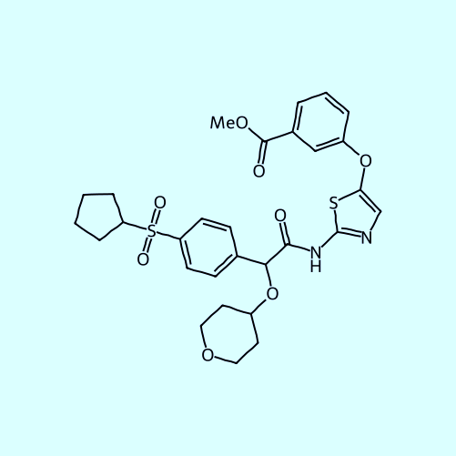 COC(=O)c1cccc(Oc2cnc(NC(=O)C(OC3CCOCC3)c3ccc(S(=O)(=O)C4CCCC4)cc3)s2)c1